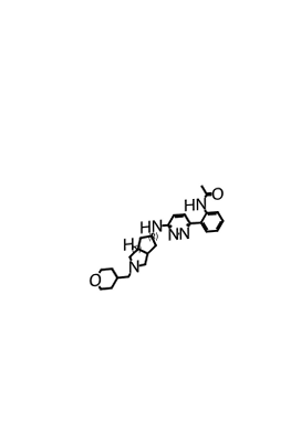 CC(=O)Nc1ccccc1-c1ccc(N[C@@H]2CC3CN(CC4CCOCC4)C[C@H]3C2)nn1